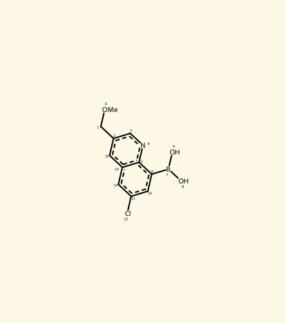 COCc1cnc2c(B(O)O)cc(Cl)cc2c1